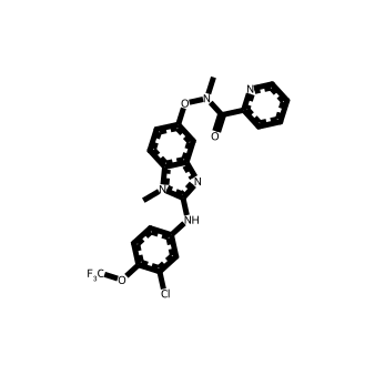 CN(Oc1ccc2c(c1)nc(Nc1ccc(OC(F)(F)F)c(Cl)c1)n2C)C(=O)c1ccccn1